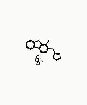 Cc1c(CC2=CC=CC2)ccc2c1Cc1ccccc1-2.[Cl-].[Cl-].[Zr+2]